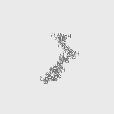 COc1cc2c(=O)n(CCN(C)C(=O)/C=C(/CC(=O)NCNC(=O)CC[C@H](NC(=O)c3ccc(NCc4cnc5nc(N)nc(O)c5n4)cc3)C(=O)O)C(=O)O)c3c4cc5c(cc4ncc3c2cc1OC)OCO5